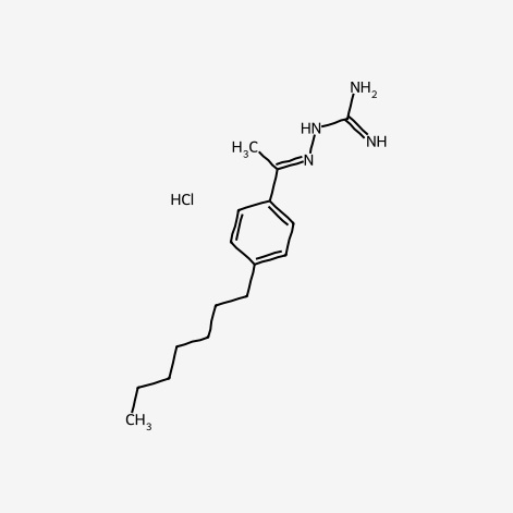 CCCCCCCc1ccc(/C(C)=N/NC(=N)N)cc1.Cl